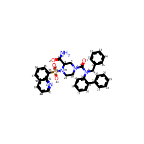 NC(=O)C1CN(C(=O)N(Cc2ccccc2)c2ccccc2-c2ccccc2)CCN1S(=O)(=O)c1cccc2cccnc12